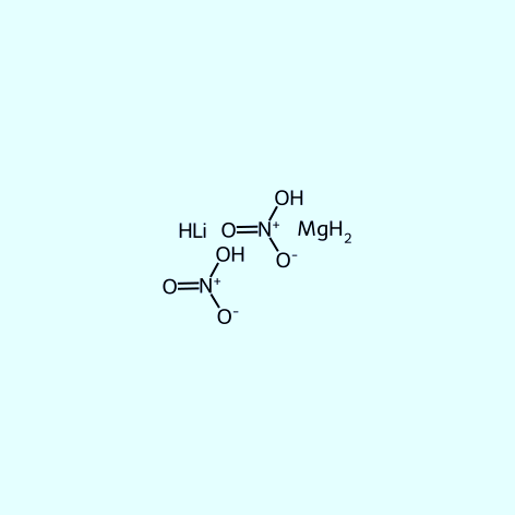 O=[N+]([O-])O.O=[N+]([O-])O.[LiH].[MgH2]